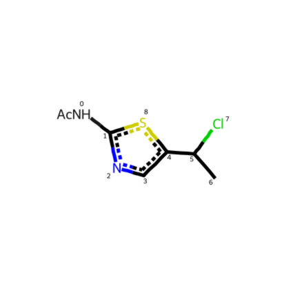 CC(=O)Nc1ncc(C(C)Cl)s1